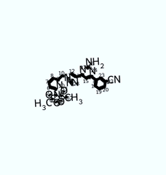 CS(=O)(=O)N(c1cccc(Cn2cc(-c3cc(-c4cccc(C#N)c4)nc(N)n3)nn2)n1)S(C)(=O)=O